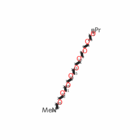 CCCOCCOCCOCCOCCOCCOCCOCCOCCOCCNC